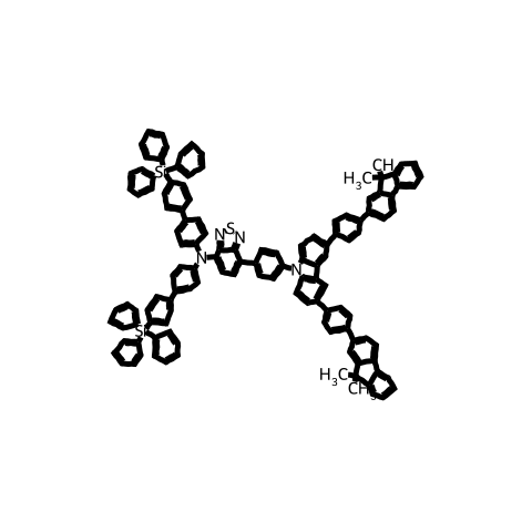 CC1(C)c2ccccc2-c2ccc(-c3ccc(-c4ccc5c(c4)c4cc(-c6ccc(-c7ccc8c(c7)C(C)(C)c7ccccc7-8)cc6)ccc4n5-c4ccc(-c5ccc(N(c6ccc(-c7ccc([Si](c8ccccc8)(c8ccccc8)c8ccccc8)cc7)cc6)c6ccc(-c7ccc([Si](c8ccccc8)(c8ccccc8)c8ccccc8)cc7)cc6)c6nsnc56)cc4)cc3)cc21